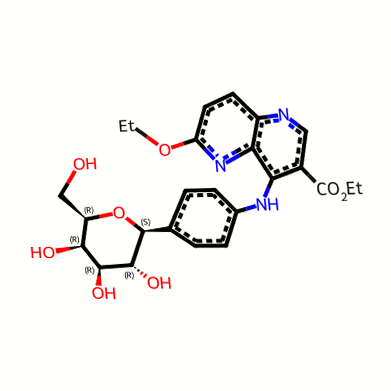 CCOC(=O)c1cnc2ccc(OCC)nc2c1Nc1ccc([C@@H]2O[C@H](CO)[C@H](O)[C@H](O)[C@H]2O)cc1